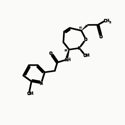 CC(=O)C[C@H]1C=CC[C@H](NC(=O)Cc2cccc(O)n2)B(O)O1